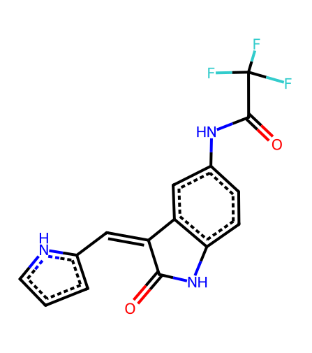 O=C1Nc2ccc(NC(=O)C(F)(F)F)cc2C1=Cc1ccc[nH]1